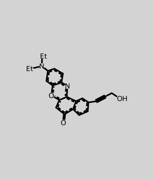 CCN(CC)c1ccc2nc3c4cc(C#CCO)ccc4c(=O)cc-3oc2c1